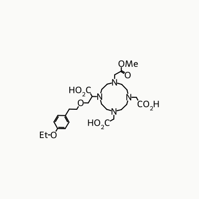 CCOc1ccc(CCOCC(C(=O)O)N2CCN(CC(=O)O)CCN(CC(=O)O)CCN(CC(=O)OC)CC2)cc1